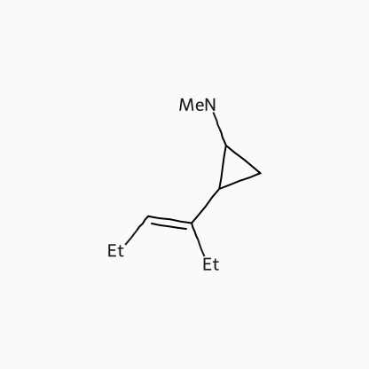 CC/C=C(\CC)C1CC1NC